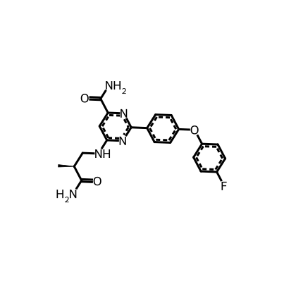 C[C@@H](CNc1cc(C(N)=O)nc(-c2ccc(Oc3ccc(F)cc3)cc2)n1)C(N)=O